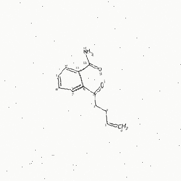 C=CC[CH]C(=O)c1ccccc1C(N)=O